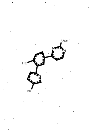 CSc1nccc(-c2ccc(O)c(-c3ccc(C#N)cn3)c2)n1